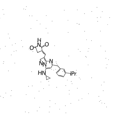 CC(C)c1cccc(Cc2cc(NC3CC3)n3ncc(/C=C4\CC(=O)NC4=O)c3n2)c1